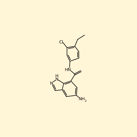 C=C(Nc1ccc(CC)c(Cl)c1)c1cc(N)cc2cn[nH]c12